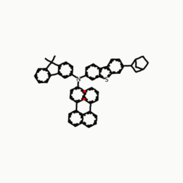 CC1(C)c2ccccc2-c2cc(N(c3ccc(-c4cccc5cccc(-c6ccccc6)c45)cc3)c3ccc4c(c3)sc3cc(C5CC6CCC5C6)ccc34)ccc21